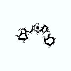 O=S(=O)(NCc1c[nH]c2ncccc12)c1ccc(Sc2ccccc2)s1